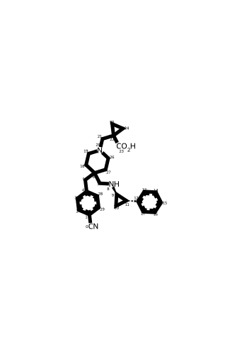 N#Cc1ccc(CC2(CN[C@@H]3C[C@H]3c3ccccc3)CCN(CC3(C(=O)O)CC3)CC2)cc1